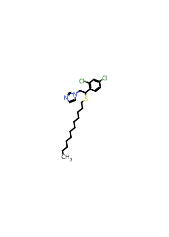 CCCCCCCCCCCCSC(Cn1ccnc1)c1ccc(Cl)cc1Cl